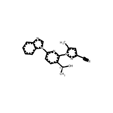 Cc1cc(C#N)nn1-c1nc(-n2cnc3ccccc32)ccc1[C@H](C)O